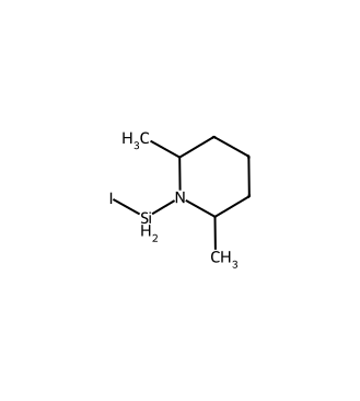 CC1CCCC(C)N1[SiH2]I